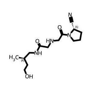 C[C@H](CCO)CNC(=O)CNCC(=O)N1CCC[C@H]1C#N